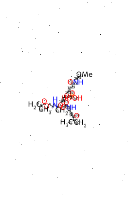 C=C(NCCOC(=O)C(=C)C)OCC(COCC(CCC(=O)NCCOC)OP(O)O)OC(=O)NCCCC(=O)C(=C)C